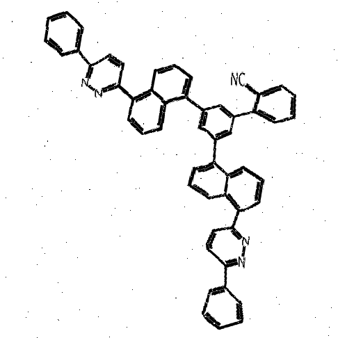 N#Cc1ccccc1-c1cc(-c2cccc3c(-c4ccc(-c5ccccc5)nn4)cccc23)cc(-c2cccc3c(-c4ccc(-c5ccccc5)nn4)cccc23)c1